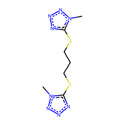 Cn1nnnc1SCCCSc1nnnn1C